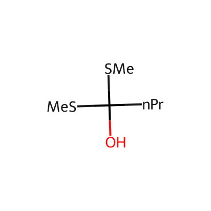 CCCC(O)(SC)SC